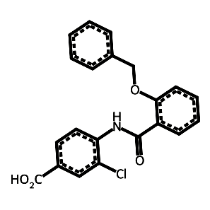 O=C(O)c1ccc(NC(=O)c2ccccc2OCc2ccccc2)c(Cl)c1